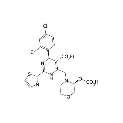 CCOC(=O)C1=C(CN2CCOC[C@@H]2OC(=O)O)NC(c2nccs2)=N[C@H]1c1ccc(Cl)cc1Cl